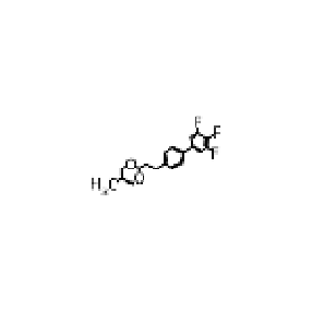 CC1COC(CCc2ccc(-c3cc(F)c(F)c(F)c3)cc2)OC1